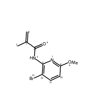 C=C(C)C(=O)Nc1nc(OC)ccc1Br